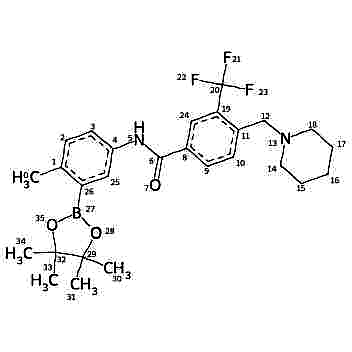 Cc1ccc(NC(=O)c2ccc(CN3CCCCC3)c(C(F)(F)F)c2)cc1B1OC(C)(C)C(C)(C)O1